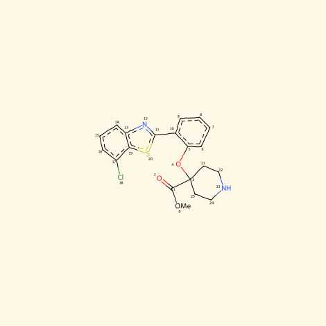 COC(=O)C1(Oc2ccccc2-c2nc3cccc(Cl)c3s2)CCNCC1